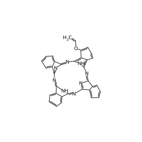 C=COc1cccc2c3nc4nc(nc5[nH]c(nc6nc(nc([nH]3)c12)-c1ccccc1-6)c1ccccc51)-c1ccccc1-4